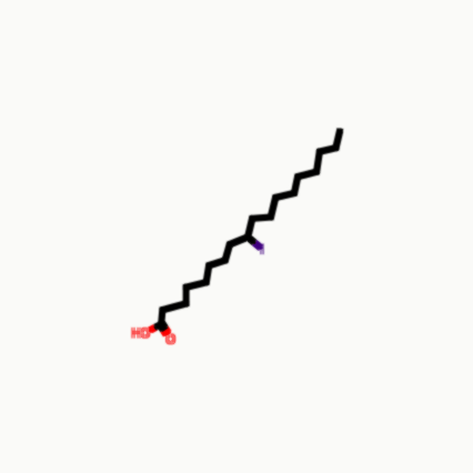 CCCCCCCCCC(I)CCCCCCCC(=O)O